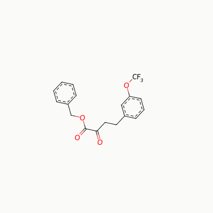 O=C(CCc1cccc(OC(F)(F)F)c1)C(=O)OCc1ccccc1